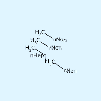 CCCCCCCC.CCCCCCCCCC.CCCCCCCCCC.CCCCCCCCCC